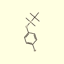 CC(C)(C)[Si](C)(C)Oc1c[c]c(Br)cc1